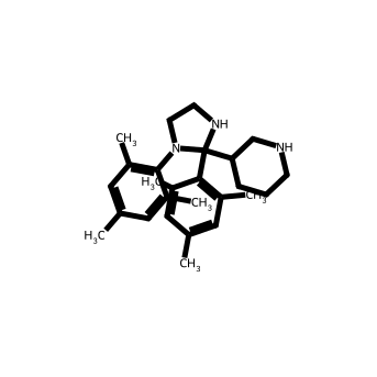 Cc1cc(C)c(N2CCNC2(c2c(C)cc(C)cc2C)C2CCCNC2)c(C)c1